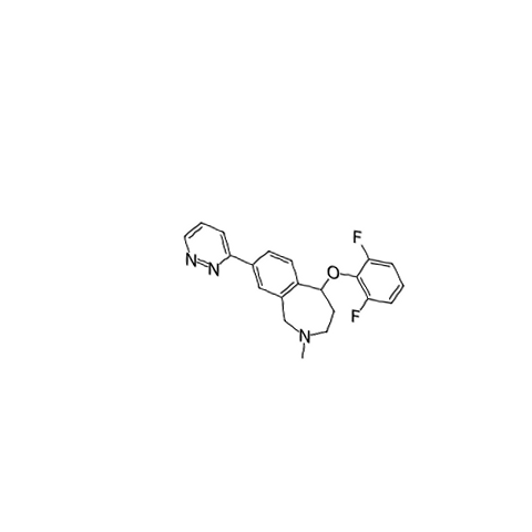 CN1CCC(Oc2c(F)cccc2F)c2ccc(-c3cccnn3)cc2C1